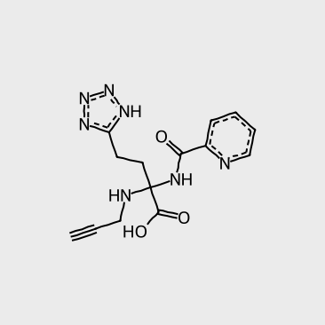 C#CCNC(CCc1nnn[nH]1)(NC(=O)c1ccccn1)C(=O)O